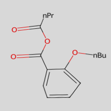 CCCCOc1ccccc1C(=O)OC(=O)CCC